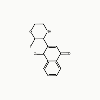 O=C1C=C(C2NCCOC2I)C(=O)c2ccccc21